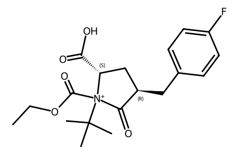 CCOC(=O)[N+]1(C(C)(C)C)C(=O)[C@H](Cc2ccc(F)cc2)C[C@H]1C(=O)O